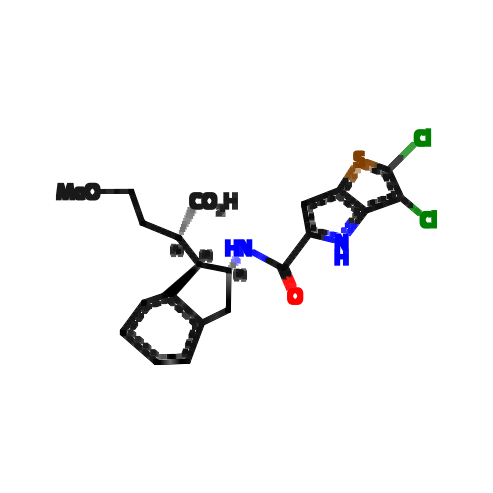 COCC[C@H](C(=O)O)[C@@H]1c2ccccc2C[C@H]1NC(=O)c1cc2sc(Cl)c(Cl)c2[nH]1